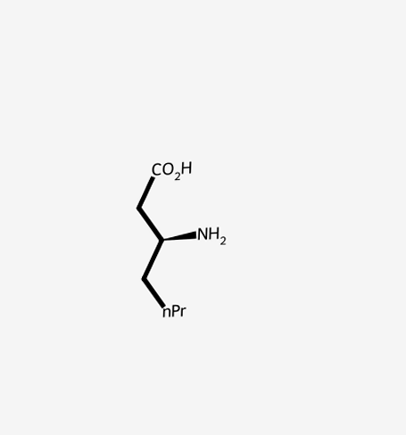 CCCC[C@H](N)CC(=O)O